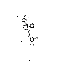 Cn1nnc([C@H]2C[C@@]3(c4ccccc4)N[C@@H]2CC[C@@H]3OCCOc2cc(C(F)(F)F)cc(C(F)(F)F)c2)n1